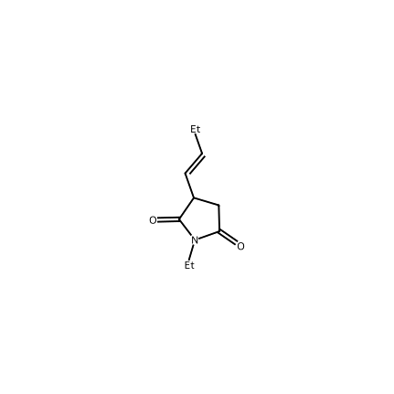 [CH2]CN1C(=O)CC(C=CCC)C1=O